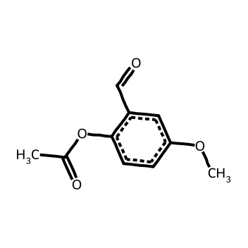 COc1ccc(OC(C)=O)c(C=O)c1